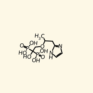 CC(Cc1ncc[nH]1)OCC(O)(P(=O)(O)O)P(=O)(O)O